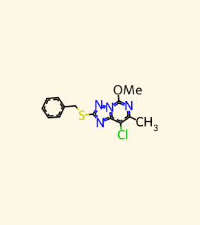 COc1nc(C)c(Cl)c2nc(SCc3ccccc3)nn12